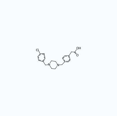 O=C(O)Cc1ccc(CN2CCN(Cc3ccc(Cl)cc3)CC2)cc1